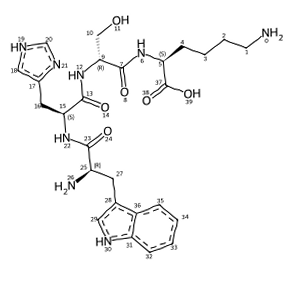 NCCCC[C@H](NC(=O)[C@@H](CO)NC(=O)[C@H](Cc1c[nH]cn1)NC(=O)[C@H](N)Cc1c[nH]c2ccccc12)C(=O)O